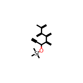 C#CC(O[Si](C)(C)C)C(=C)C(=C)C(=C)C(=C)C